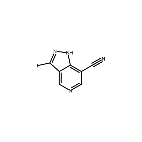 N#Cc1cncc2c(I)n[nH]c12